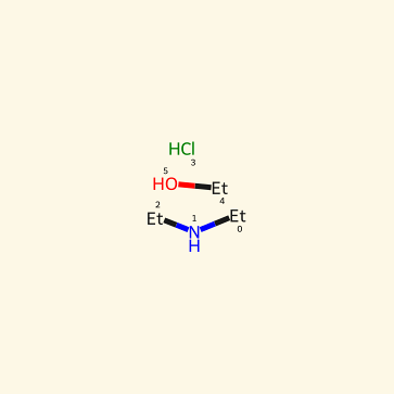 CCNCC.Cl.[CH2]CO